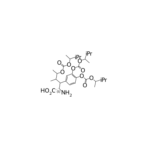 CC(C)C(C)OC(=O)Oc1ccc(C(C(C)C(C)OC(=O)OC(C)C(C)C)[C@H](N)C(=O)O)cc1OC(=O)OC(C)C(C)C